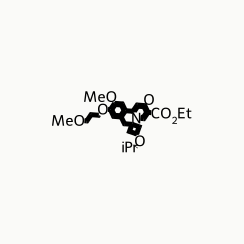 CCOC(=O)c1cn2c(cc1=O)-c1cc(OC)c(OCCCOC)cc1CC21CC(OC(C)C)C1